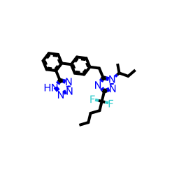 CCCCC(F)(F)c1nc(Cc2ccc(-c3ccccc3-c3nnn[nH]3)cc2)n(C(C)CC)n1